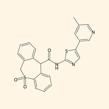 Cc1cncc(-c2cnc(NC(=O)C3c4ccccc4CS(=O)(=O)c4ccccc43)s2)c1